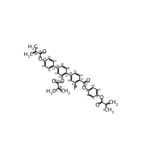 C=C(C)C(=O)Oc1ccc(OC(=O)c2ccc(-c3ccc(-c4ccc(OC(=O)C(=C)C)cc4)cc3OC(=O)C(=C)C)cc2F)cc1